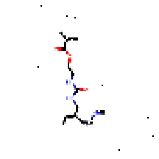 C=N/C=C\C(=C/C)CNC(=O)NCCOC(=O)C(=C)C